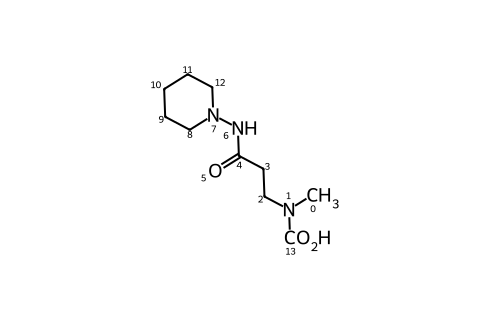 CN(CCC(=O)NN1CCCCC1)C(=O)O